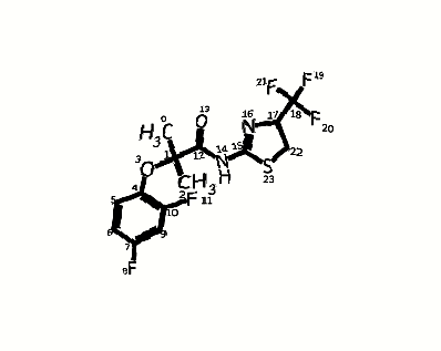 CC(C)(Oc1ccc(F)cc1F)C(=O)NC1=NC(C(F)(F)F)CS1